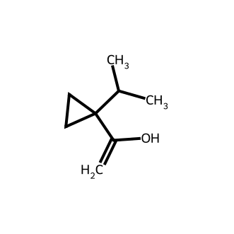 C=C(O)C1(C(C)C)CC1